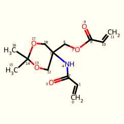 C=CC(=O)NC1(COC(=O)C=C)COC(C)(C)OC1